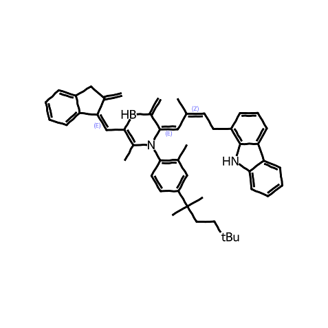 C=C1Cc2ccccc2/C1=C/C1=C(C)N(c2ccc(C(C)(C)CCC(C)(C)C)cc2C)/C(=C/C(C)=C\Cc2cccc3c2[nH]c2ccccc23)C(=C)B1